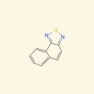 c1ccc2c(c1)ccc1nsnc12